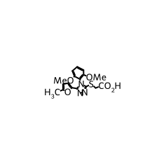 COc1cccc(OC)c1-n1c(SCC(=O)O)nnc1-c1ccc(C)o1